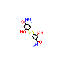 NC(=O)c1ccc(SSc2ccc(C(N)=O)cc2O)c(O)c1